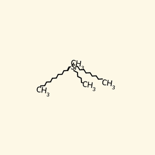 CCCCCCCCCCC=C[Si](C)(CCCCCC)CCCCCCCCCC